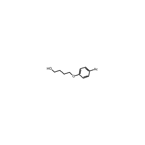 CC(=O)c1ccc(OCCCCO)cc1